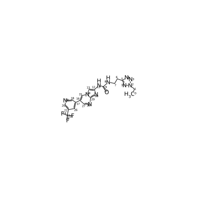 CCn1nnc(CCNC(=O)Nc2cn3cc(-c4cncc(C(F)(F)F)c4)cnc3n2)n1